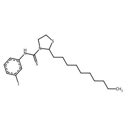 CCCCCCCCCCC1SCCN1C(=S)Nc1cccc(I)c1